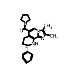 Cc1nc2c3c(c(C(=O)N4CCCC4)cn2c1C)CC[C@@H](c1ccccc1)N3